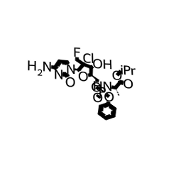 CC(C)OC(=O)[C@H](C)NP(=O)(OC[C@H]1O[C@@H](n2ccc(N)nc2=O)[C@@](Cl)(CF)C1O)Oc1ccccc1